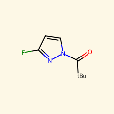 CC(C)(C)C(=O)n1ccc(F)n1